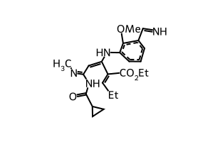 CC/C=C(C(=O)OCC)/C(=C\C(=N/C)NC(=O)C1CC1)Nc1cccc(C=N)c1OC